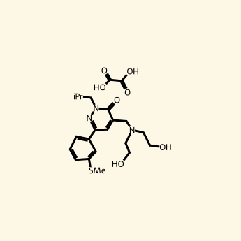 CSc1cccc(-c2cc(CN(CCO)CCO)c(=O)n(CC(C)C)n2)c1.O=C(O)C(=O)O